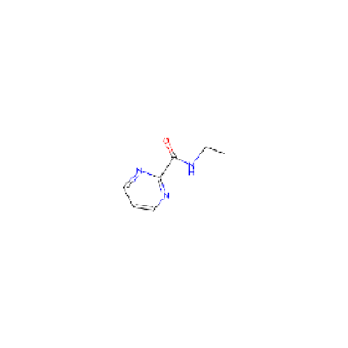 CCNC(=O)c1ncccn1